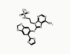 CS(=O)(=O)NCCn1c(Sc2cc3c(cc2-c2ncco2)OCO3)nc2c(N)ncnc21